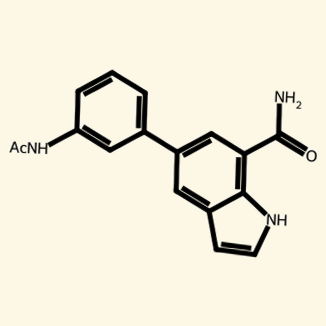 CC(=O)Nc1cccc(-c2cc(C(N)=O)c3[nH]ccc3c2)c1